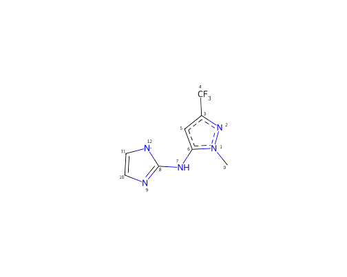 Cn1nc(C(F)(F)F)cc1NC1=NC=C[N]1